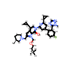 C[C@H]1CCCN(Cc2cc3c(C4CC4)cn(-c4cc(-c5ccc(F)cc5-c5ncnn5C)cc(C5CC5)n4)c(=O)c3n2COCC[Si](C)(C)C)C1